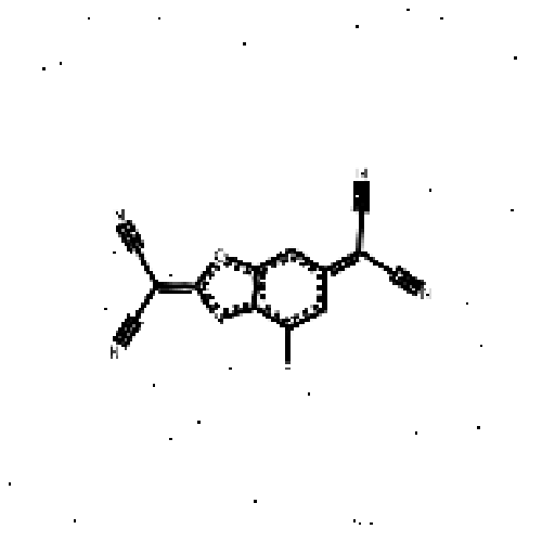 N#CC(C#N)=c1cc(F)c2nc(=C(C#N)C#N)oc2c1